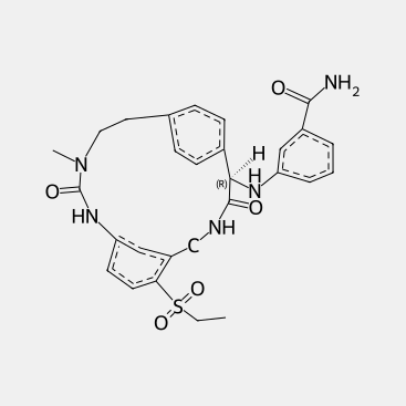 CCS(=O)(=O)c1ccc2cc1CNC(=O)[C@H](Nc1cccc(C(N)=O)c1)c1ccc(cc1)CCN(C)C(=O)N2